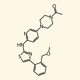 COCc1ccccc1-c1csc(Nc2ccc(N3CCN(C(C)=O)CC3)cn2)n1